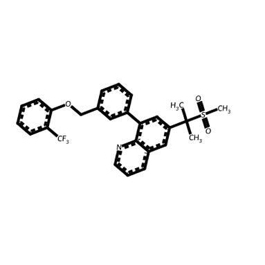 CC(C)(c1cc(-c2cccc(COc3ccccc3C(F)(F)F)c2)c2ncccc2c1)S(C)(=O)=O